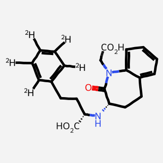 [2H]c1c([2H])c([2H])c(CC[C@H](N[C@H]2CCc3ccccc3N(CC(=O)O)C2=O)C(=O)O)c([2H])c1[2H]